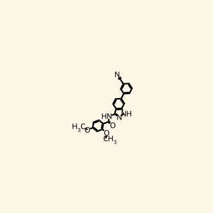 COc1ccc(C(=O)Nc2n[nH]c3cc(-c4cccc(C#N)c4)ccc23)c(OC)c1